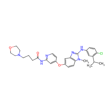 CC(C)c1cc(Nc2nc3cc(Oc4ccnc(NC(=O)CCCN5CCOCC5)c4)ccc3n2C)ccc1Cl